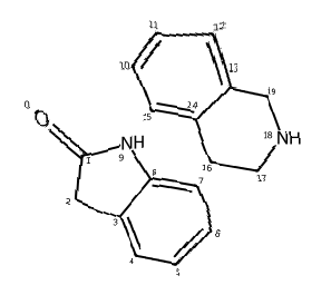 O=C1Cc2ccccc2N1.c1ccc2c(c1)CCNC2